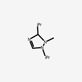 CC(C)C1N=CN(C(C)C)N1C